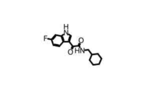 O=C(NCC1CCCCC1)C(=O)c1c[nH]c2cc(F)ccc12